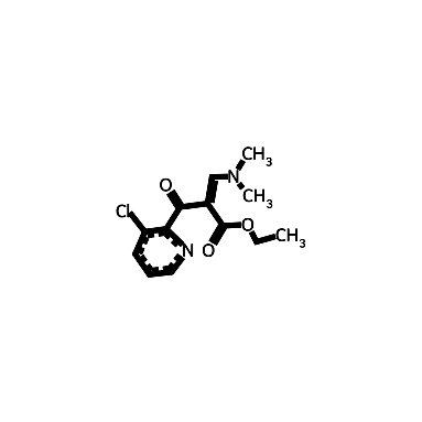 CCOC(=O)/C(=C\N(C)C)C(=O)c1ncccc1Cl